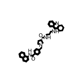 O=C(Nc1cccc2ccccc12)c1ccc(CN2CC[C@H](C(=O)NCCCNc3c4c(nc5ccccc35)CCCC4)C2)cc1